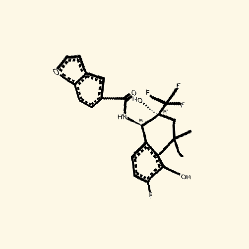 CC1(C)C[C@](O)(C(F)(F)F)[C@H](NC(=O)c2ccc3occc3c2)c2ccc(F)c(O)c21